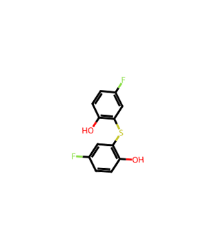 Oc1ccc(F)cc1Sc1cc(F)ccc1O